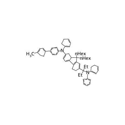 CCCCCCC1(CCCCCC)C2=C(CCC(C(CC)(CC)N(C3=CC=CCC3)c3ccccc3)=C2)C2=CC=C(N(C3=CC=CCC3)c3ccc(C4=CC=C(C)CC4)cc3)CC21